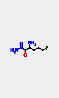 NNC(=O)C(N)CCCF